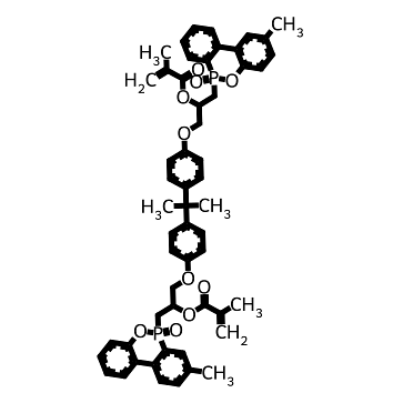 C=C(C)C(=O)OC(COc1ccc(C(C)(C)c2ccc(OCC(CP3(=O)Oc4ccccc4-c4ccc(C)cc43)OC(=O)C(=C)C)cc2)cc1)CP1(=O)Oc2ccc(C)cc2-c2ccccc21